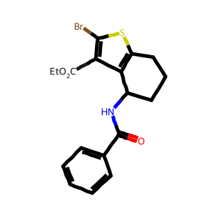 CCOC(=O)c1c(Br)sc2c1C(NC(=O)c1ccccc1)CCC2